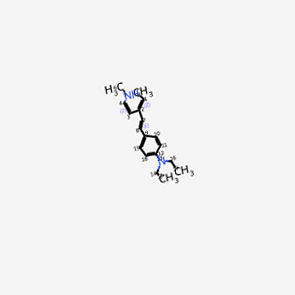 C/C=C(\C=C/NC)/C=C/c1ccc(N(CC)CC)cc1